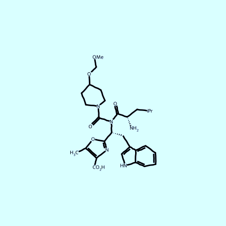 COCOC1CCN(C(=O)N(C(=O)[C@@H](N)CC(C)C)[C@H](Cc2c[nH]c3ccccc23)c2nc(C(=O)O)c(C)o2)CC1